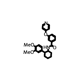 COc1ccc(C2CCCCC2NC(=O)c2cccc(Oc3ccncc3)c2)cc1OC